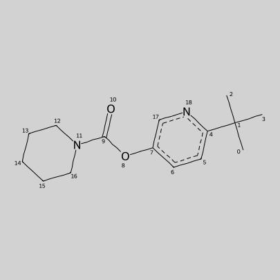 CC(C)(C)c1ccc(OC(=O)N2CCCCC2)cn1